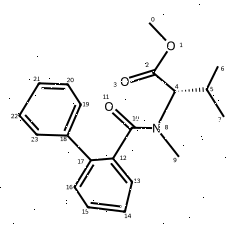 COC(=O)[C@H](C(C)C)N(C)C(=O)c1ccccc1-c1ccccc1